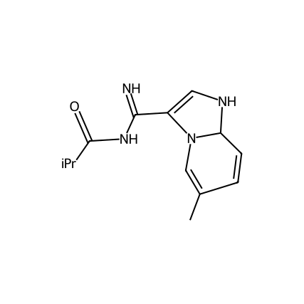 CC1=CN2C(C(=N)NC(=O)C(C)C)=CNC2C=C1